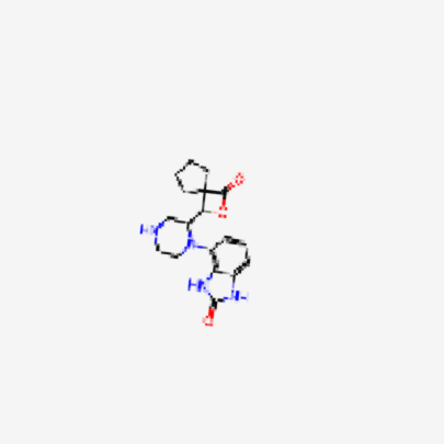 O=C1OC(C2CNCCN2c2cccc3[nH]c(=O)[nH]c23)C12CCCC2